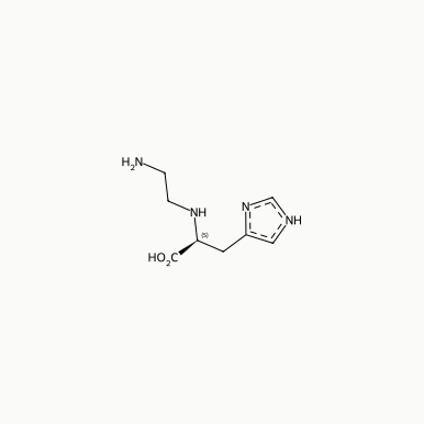 NCCN[C@@H](Cc1c[nH]cn1)C(=O)O